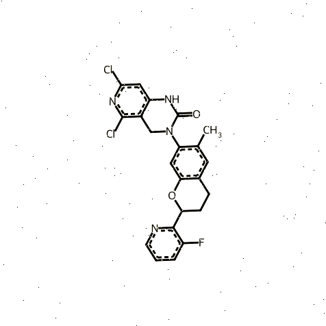 Cc1cc2c(cc1N1Cc3c(cc(Cl)nc3Cl)NC1=O)OC(c1ncccc1F)CC2